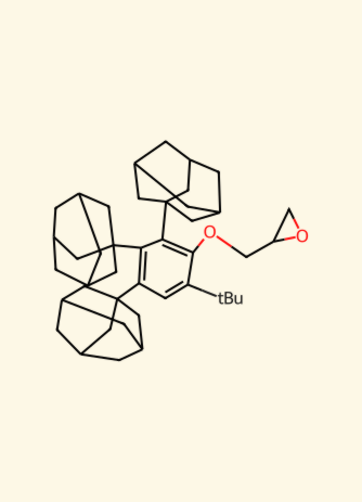 CC(C)(C)c1cc(C23CC4CC(CC(C4)C2)C3)c(C23CC4CC(CC(C4)C2)C3)c(C23CC4CC(CC(C4)C2)C3)c1OCC1CO1